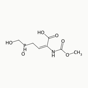 COC(=O)NC(=CC[PH](=O)CO)C(=O)O